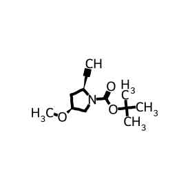 C#C[C@@H]1C[C@H](OC)CN1C(=O)OC(C)(C)C